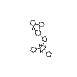 c1ccc(-c2nc(-c3ccccc3)nc(-c3cccc(-c4ccc5c(c4)-c4ccccc4-c4ccccc4O5)c3)n2)cc1